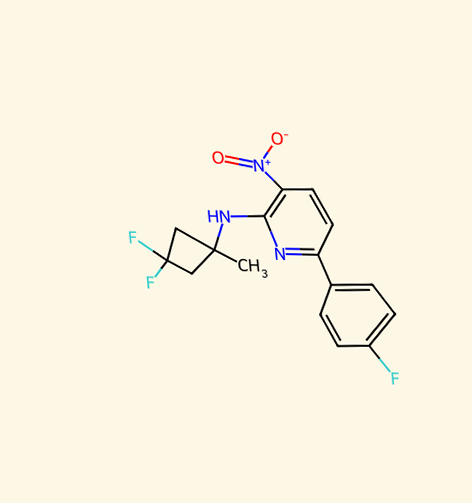 CC1(Nc2nc(-c3ccc(F)cc3)ccc2[N+](=O)[O-])CC(F)(F)C1